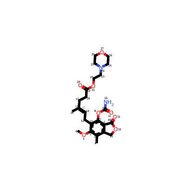 COc1c(C)c2c(c(OC(N)=O)c1C/C=C(\C)CCC(=O)OCCN1CCOCC1)C(=O)OC2